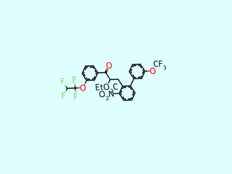 CCOC(=O)C(Cc1c(-c2cccc(OC(F)(F)F)c2)cccc1[N+](=O)[O-])C(=O)c1cccc(OC(F)(F)C(F)F)c1